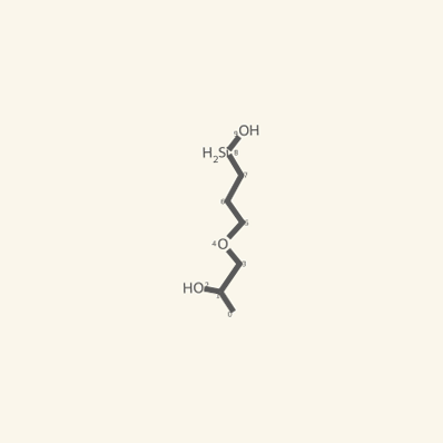 CC(O)COCCC[SiH2]O